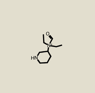 CC[N+](C=O)(CC)C1CCCNC1